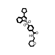 O=C(NCC1CCCCO1)c1ccc(S(=O)(=O)n2cc(C3CCCC3)c3ccccc32)cc1